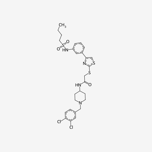 CCCCS(=O)(=O)Nc1cccc(-c2csc(SCC(=O)NC3CCN(Cc4ccc(Cl)c(Cl)c4)CC3)n2)c1